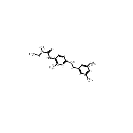 CCN(C)C(=S)Nc1ccc(OCc2cc(C)cc(C)c2)nc1C